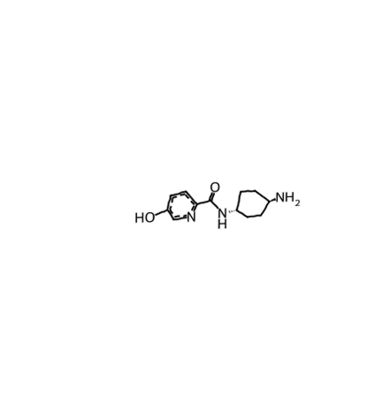 N[C@H]1CC[C@H](NC(=O)c2ccc(O)cn2)CC1